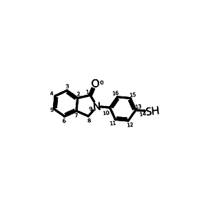 O=C1c2ccccc2CN1c1ccc(S)cc1